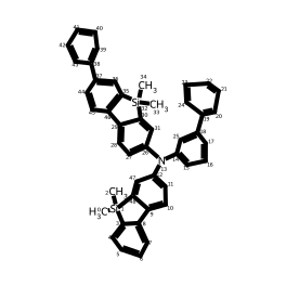 C[Si]1(C)c2ccccc2-c2ccc(N(c3cccc(-c4ccccc4)c3)c3ccc4c(c3)[Si](C)(C)c3cc(-c5ccccc5)ccc3-4)cc21